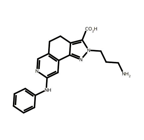 NCCCn1nc2c(c1C(=O)O)CCc1cnc(Nc3ccccc3)cc1-2